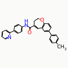 Cc1ccc(-c2ccc3c(c2)C=C(C(=O)Nc2ccc(-c4ccccn4)cc2)CCO3)cc1